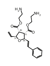 C=C[C@@H]1O[C@H](C=Cc2ccccc2)[C@@H](C(=O)OCCN)[C@H]1C(=O)OCCN